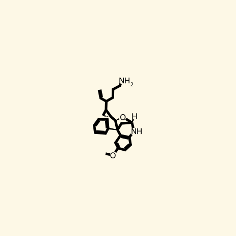 C=CC(CCCN)C1C[C@H]1[C@@H]1O[C@H]2C[C@]1(c1ccccc1)c1cc(OC)ccc1N2